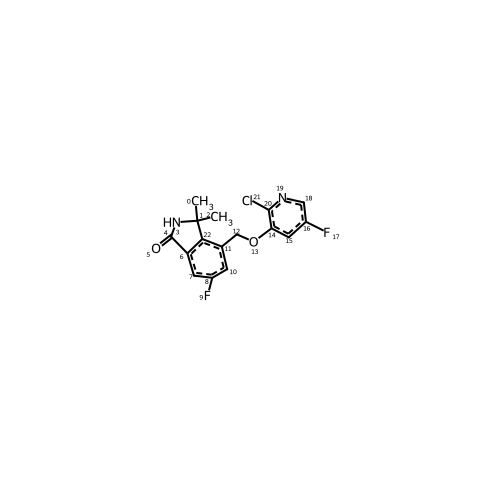 CC1(C)NC(=O)c2cc(F)cc(COc3cc(F)cnc3Cl)c21